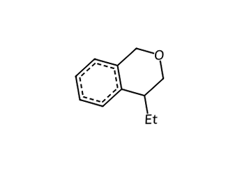 CCC1COCc2ccccc21